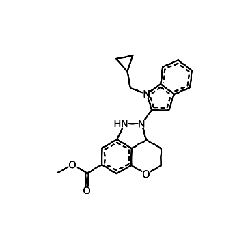 COC(=O)c1cc2c3c(c1)OCCC3N(c1cc3ccccc3n1CC1CC1)N2